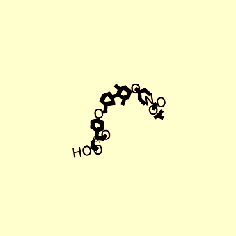 Cc1cc(OC2CCN(C(=O)OC(C)(C)C)CC2)cc(C)c1-c1cccc(COc2ccc3c(c2)OC[C@H]3CC(=O)O)c1